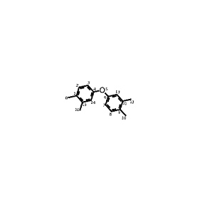 Cc1ccc(Oc2ccc(C)c(C)c2)cc1C